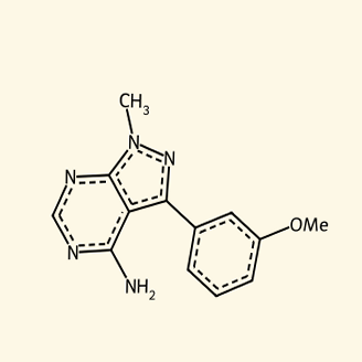 COc1cccc(-c2nn(C)c3ncnc(N)c23)c1